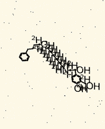 [2H]C([2H])(CCCc1ccccc1)OC([2H])([2H])C([2H])([2H])C([2H])([2H])C([2H])([2H])C([2H])([2H])C([2H])([2H])NC([2H])([2H])C([2H])(O)c1ccc(O)c(C([2H])([2H])O)c1